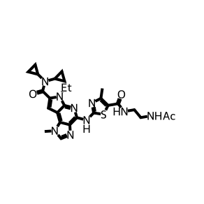 CCn1c(C(=O)N(C2CC2)C2CC2)cc2c3c(ncn3C)c(Nc3nc(C)c(C(=O)NCCNC(C)=O)s3)nc21